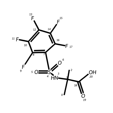 CC(C)(NS(=O)(=O)c1c(F)c(F)c(F)c(F)c1F)C(=O)O